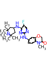 CN1C(=O)COc2cc(Nc3ncc(F)c(NC4CC(C)(C)N(C)C(C)(C)C4)n3)ccc21